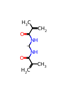 C=C(C)C(=O)N[C]NC(=O)C(=C)C